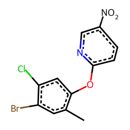 Cc1cc(Br)c(Cl)cc1Oc1ccc([N+](=O)[O-])cn1